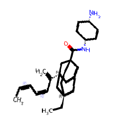 C=C(/C=C\C=C/C)[C@]12CC3CC(C(=O)N[C@H]4CC[C@@H](N)CC4)(C[C@](CC)(C3)C1)C2